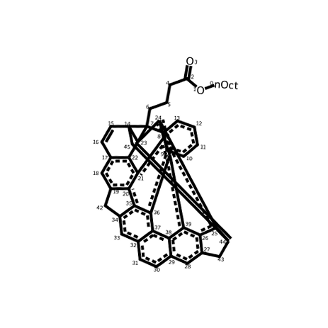 CCCCCCCCOC(=O)CCCC1(c2ccccc2)C23C=Cc4cc5c6c7c4C21c1c2c4c(cc8ccc9cc(c6c6c9c8c4c6c17)C5)CC2=C3